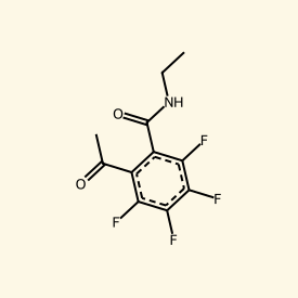 CCNC(=O)c1c(F)c(F)c(F)c(F)c1C(C)=O